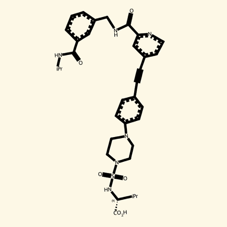 CC(C)NC(=O)c1cccc(CNC(=O)c2cc(C#Cc3ccc(N4CCN(S(=O)(=O)N[C@@H](C(=O)O)C(C)C)CC4)cc3)ccn2)c1